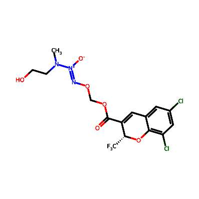 CN(CCO)/[N+]([O-])=N/OCOC(=O)C1=Cc2cc(Cl)cc(Cl)c2O[C@@H]1C(F)(F)F